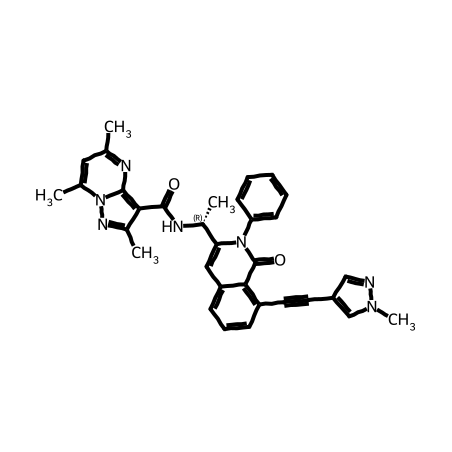 Cc1cc(C)n2nc(C)c(C(=O)N[C@H](C)c3cc4cccc(C#Cc5cnn(C)c5)c4c(=O)n3-c3ccccc3)c2n1